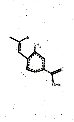 COC(=O)c1ccc(/C=C(/C)Br)c(N)c1